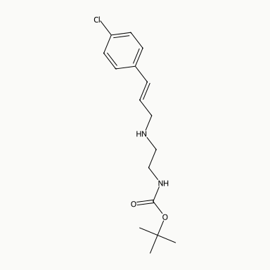 CC(C)(C)OC(=O)NCCNCC=Cc1ccc(Cl)cc1